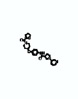 O=C(Nc1ccc(OC2CCN(C(=O)[C@H]3CCCO3)CC2)cc1)C1CCN(c2cccnc2)C1